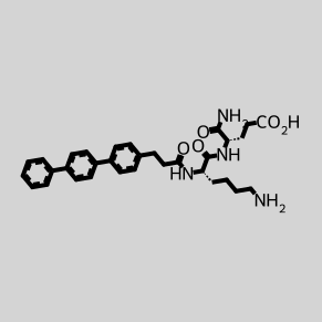 NCCCC[C@H](NC(=O)CCc1ccc(-c2ccc(-c3ccccc3)cc2)cc1)C(=O)N[C@@H](CCC(=O)O)C(N)=O